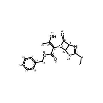 CCC1=NC2C(=O)N(/C(C(=O)OCc3ccccc3)=C(/C)O)C2S1